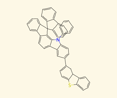 C1=C(c2ccc3c(c2)c2ccc4c(c2n3-c2ccccc2)C2(c3ccccc3-c3ccccc32)c2ccccc2-4)CC2C(=C1)Sc1ccccc12